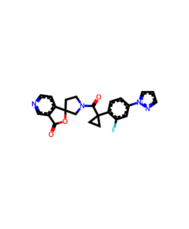 O=C1OC2(CCN(C(=O)C3(c4ccc(-n5cccn5)cc4F)CC3)C2)c2ccncc21